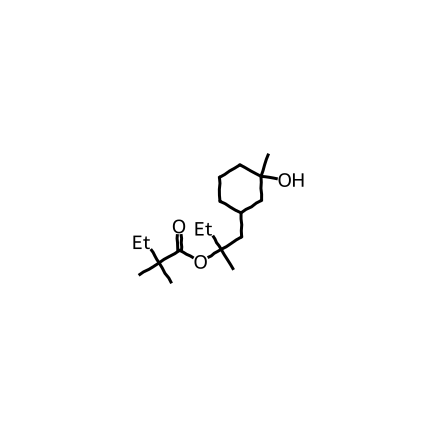 CCC(C)(CC1CCCC(C)(O)C1)OC(=O)C(C)(C)CC